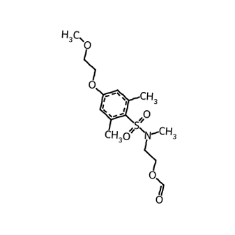 COCCOc1cc(C)c(S(=O)(=O)N(C)CCOC=O)c(C)c1